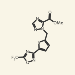 COC(=O)c1ncnn1Cc1ccc(-c2noc(C(F)(F)F)n2)s1